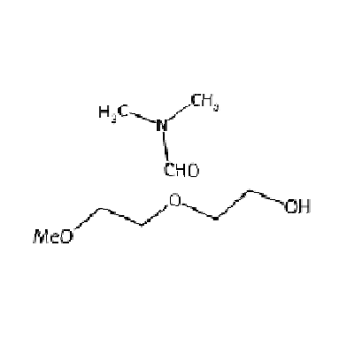 CN(C)C=O.COCCOCCO